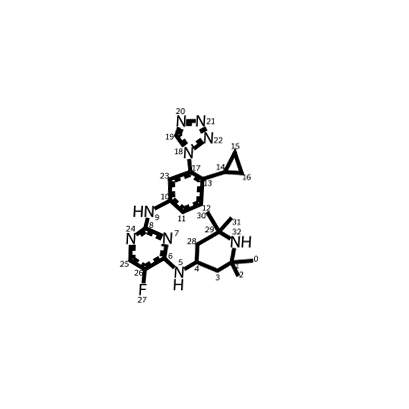 CC1(C)CC(Nc2nc(Nc3ccc(C4CC4)c(-n4cnnn4)c3)ncc2F)CC(C)(C)N1